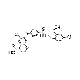 COc1cc(C2CC2)ccc1CCNC(=O)c1ccc(Oc2cc3c(cc2Cl)C(C(=O)O)CCO3)cc1